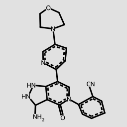 N#Cc1ccccc1-n1cc(-c2ccc(N3CCOCC3)cn2)c2c(c1=O)C(N)NN2